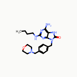 CCCCNc1nc(N)c2[nH]c(=O)n(Cc3ccc(CN4CCOCC4)cc3)c2n1